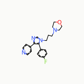 Fc1ccc(-c2c(-c3ccncc3)ncn2CCCN2CCOCC2)cc1